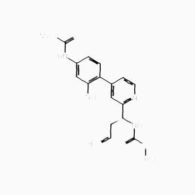 C=CC[C@H](NC(=O)OC(C)(C)C)c1cc(-c2ccc(NC(=O)OC)cc2N)ccn1